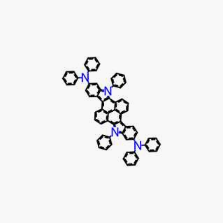 c1ccc(N(c2ccccc2)c2ccc3c4c5cccc6c5c5c(cccc5c4n(-c4ccccc4)c3c2)c2c3ccc(N(c4ccccc4)c4ccccc4)cc3n(-c3ccccc3)c62)cc1